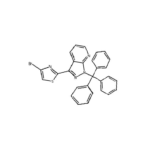 Brc1csc(-c2nn(C(c3ccccc3)(c3ccccc3)c3ccccc3)c3ncccc23)n1